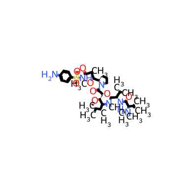 CCC(C)C([C@@H](CC(=O)N1CCC[C@H]1[C@H](OC)[C@@H](C)C(=O)NS(=O)(=O)c1ccc(N)cc1)OC)N(C)C(=O)[C@@H](NC(=O)C(C(C)C)N(C)C)C(C)C